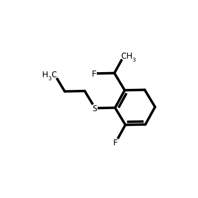 CCCSC1=C(C(C)F)CCC=C1F